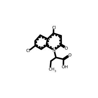 CCC(C(=O)O)n1c(=O)cc(Cl)c2ccc(Cl)cc21